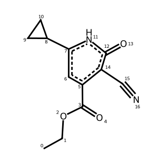 CCOC(=O)c1cc(C2CC2)[nH]c(=O)c1C#N